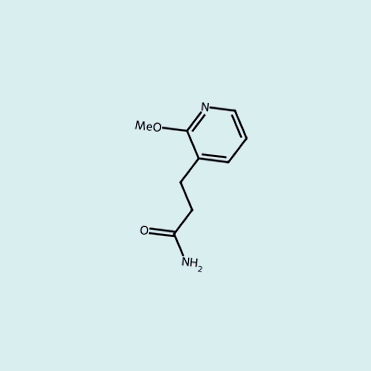 COc1ncccc1CCC(N)=O